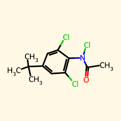 CC(=O)N(Cl)c1c(Cl)cc(C(C)(C)C)cc1Cl